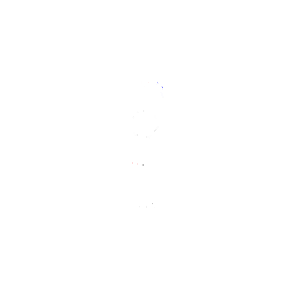 CC(=O)OCOC(=O)Cc1ccc(O)c(/C=N\O)c1